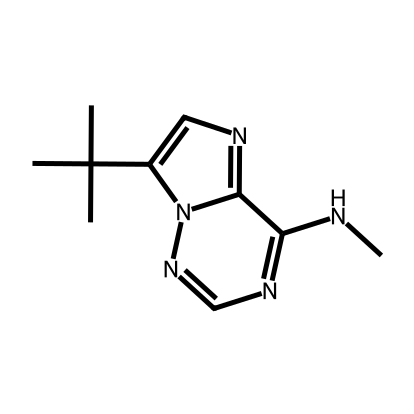 CNc1ncnn2c(C(C)(C)C)cnc12